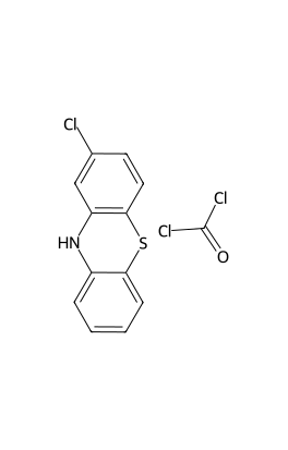 Clc1ccc2c(c1)Nc1ccccc1S2.O=C(Cl)Cl